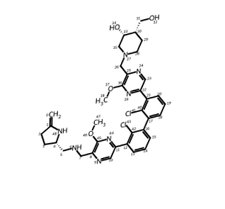 C=C1CC[C@@H](CNCc2ncc(-c3cccc(-c4cccc(-c5cnc(CN6CC[C@@H](CO)[C@@H](O)C6)c(OC)n5)c4Cl)c3Cl)nc2OC)N1